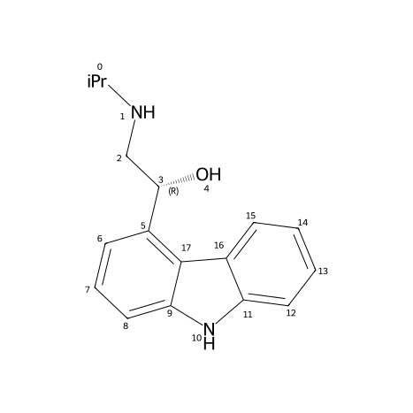 CC(C)NC[C@H](O)c1cccc2[nH]c3ccccc3c12